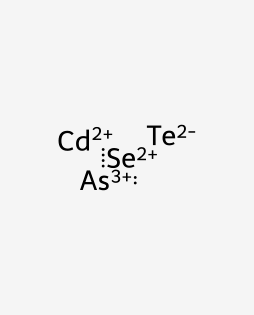 [As+3].[Cd+2].[Se+2].[Te-2]